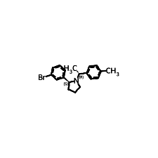 Cc1ccc([C@@H](C)N2CCC[C@H]2c2cccc(Br)c2)cc1